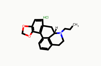 CCCN1CCc2cccc3c2[C@@H]1Cc1ccc2c(c1-3)OCO2.Cl